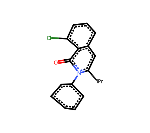 CC(C)c1cc2cccc(Cl)c2c(=O)n1-c1ccccc1